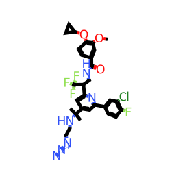 COc1cc(C(=O)NCC(c2cc(C(C)(C)NCCN=[N+]=[N-])cc(-c3ccc(F)c(Cl)c3)n2)C(F)(F)F)ccc1OC1CC1